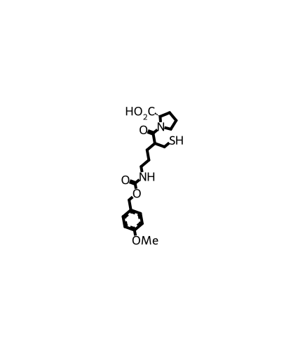 COc1ccc(COC(=O)NCCCC(CS)C(=O)N2CCC[C@H]2C(=O)O)cc1